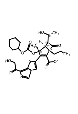 CCC[N+]12C(=O)[C@H]([C@@H](C)O)[C@@H]1[C@@](C)(OC(=O)OC1CCCCC1)C(c1cn3cnc(C(=O)CO)c3s1)=C2C(=O)[O-]